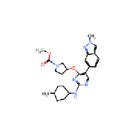 COC(=O)N1CCC(Oc2nc(NC3CCC(C)CC3)ncc2-c2ccc3cn(C)nc3c2)C1